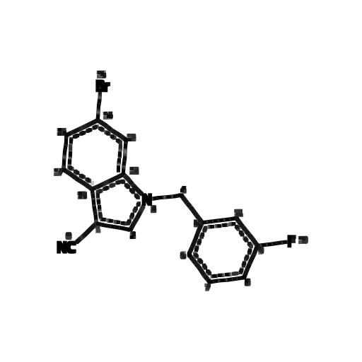 N#Cc1cn(Cc2cccc(F)c2)c2cc(Br)ccc12